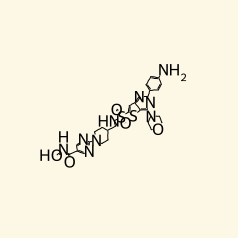 Nc1ccc(-c2nc(N3CCOCC3)c3sc(S(=O)(=O)NCC4CCN(c5ncc(C(=O)NO)cn5)CC4)cc3n2)cc1